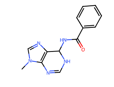 Cn1cnc2c1N=CNC2NC(=O)c1ccccc1